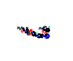 C=CC(=O)N1C[C@@H]2C[C@H]1CN2S(=O)(=O)N1CCC(F)(CN2CCC3(CC2)CN(c2ncnnc2Oc2ccc(F)cc2C(=O)N(C(C)C)C(C)C)C3)CC1